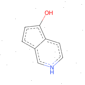 Oc1ccc2c[nH]ccc1-2